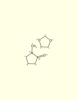 C1COCO1.CN1CCCC1=O